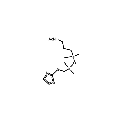 CC(=O)NCCC[Si](C)(C)O[Si](C)(C)CSc1nccs1